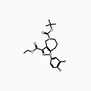 CCOC(=O)c1nn(-c2ccc(F)c(F)c2)c2c1CN(C(=O)OC(C)(C)C)CCC2